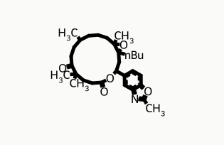 CCCCC12CC(c3ccc4oc(C)nc4c3)OC(=O)CCC(C)(C)C(=O)CCC(C)CCCC1(C)O2